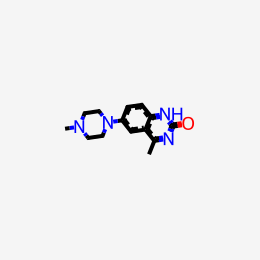 Cc1nc(=O)[nH]c2ccc(N3CCN(C)CC3)cc12